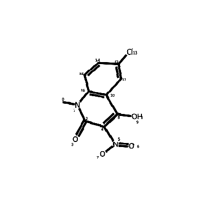 Cn1c(=O)c([N+](=O)[O-])c(O)c2cc(Cl)ccc21